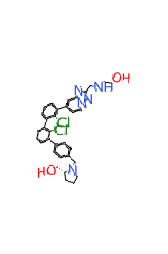 OCCNCc1nc2cc(-c3cccc(-c4cccc(-c5ccc(CN6CCC[C@@H]6CO)cc5)c4Cl)c3Cl)ccn2n1